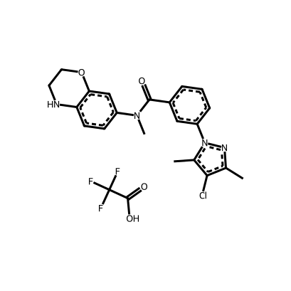 Cc1nn(-c2cccc(C(=O)N(C)c3ccc4c(c3)OCCN4)c2)c(C)c1Cl.O=C(O)C(F)(F)F